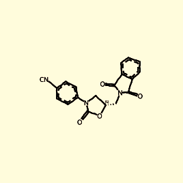 [C-]#[N+]c1ccc(N2C[C@H](CN3C(=O)c4ccccc4C3=O)OC2=O)cc1